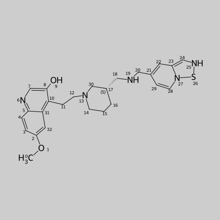 COc1ccc2ncc(O)c(CCN3CCC[C@@H](CNCC4=CC5=CNSN5C=C4)C3)c2c1